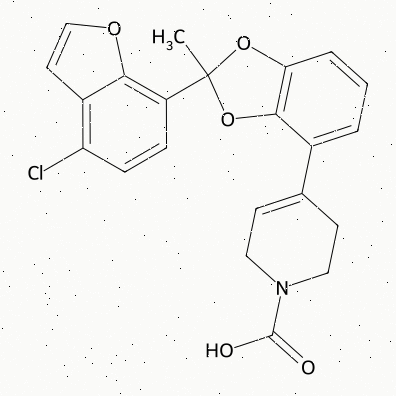 CC1(c2ccc(Cl)c3ccoc23)Oc2cccc(C3=CCN(C(=O)O)CC3)c2O1